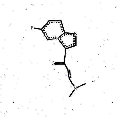 CN(C)/C=C/C(=O)c1cnc2ccc(F)cn12